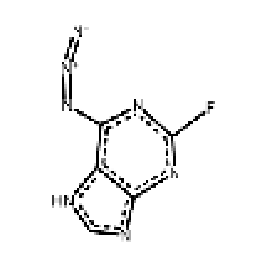 [N-]=[N+]=Nc1nc(F)nc2nc[nH]c12